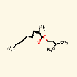 CCCCCC=C(C)C(=O)OCCC(C)C